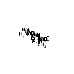 COc1cc(-c2cn(-c3ccc(C(CO)S(N)(=O)=O)cc3N3CCC4(CC3)CC4)cn2)nc(N2CCC(F)(F)CC2)n1